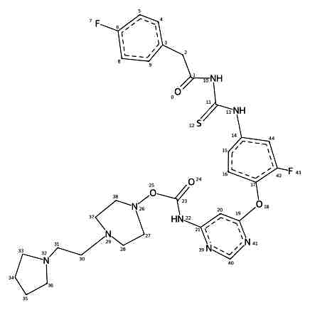 O=C(Cc1ccc(F)cc1)NC(=S)Nc1ccc(Oc2cc(NC(=O)ON3CCN(CCN4CCCC4)CC3)ncn2)c(F)c1